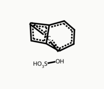 O=S(=O)(O)O.c1cc2ccc3cc2c3c1